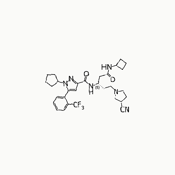 N#CC1CCN(CC[C@@H](CC(=O)NC2CCC2)NC(=O)c2cc(-c3ccccc3C(F)(F)F)n(C3CCCC3)n2)C1